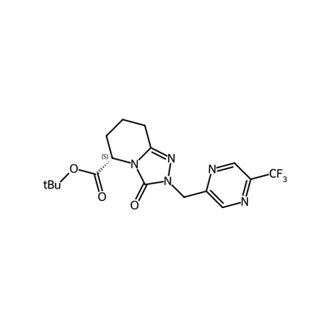 CC(C)(C)OC(=O)[C@@H]1CCCc2nn(Cc3cnc(C(F)(F)F)cn3)c(=O)n21